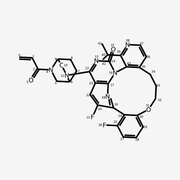 C=CC(=O)N1CC2CCC1CN2c1nc(=O)n2c3nc(c(F)cc13)-c1c(F)cccc1OCCCc1ccnc(C(C)C)c1-2